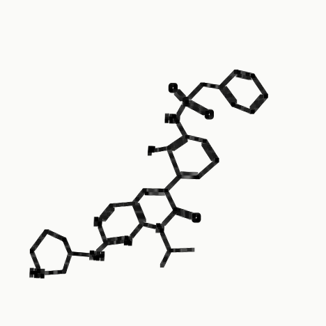 CC(C)n1c(=O)c(-c2cccc(NS(=O)(=O)Cc3ccccc3)c2F)cc2cnc(NC3CCCNC3)nc21